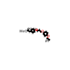 CO[C@@H](Cc1ccc(OCCCOc2ccc(OCCC(C)C)cc2)cc1)C(=O)O